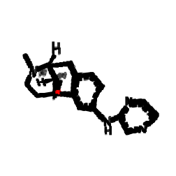 CN1CCC23CCCC[C@H]2[C@H]1Cc1ccc(Nc2cnccn2)cc13